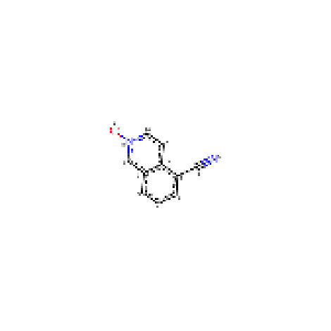 N#Cc1cccc2c[n+]([O-])ccc12